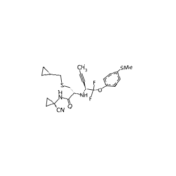 CC#C[C@H](N[C@@H](CSCC1CC1)C(=O)NC1(C#N)CC1)C(F)(F)Oc1ccc(SC)cc1